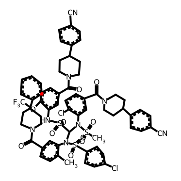 Cc1ccc(C(=O)N2CCC(c3ccccc3)CC2)cc1N(C(N(c1cc(C(=O)N2CCC(c3ccc(C#N)cc3)CC2)ccc1Cl)S(C)(=O)=O)S(=O)(=O)Nc1cc(C(=O)N2CCC(c3ccc(C#N)cc3)CC2)ccc1OC(F)(F)F)S(=O)(=O)c1ccc(Cl)cc1